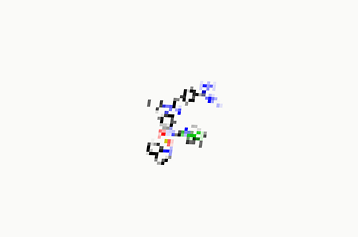 CN(C)CCN(c1ccc2c(c1)nc(Cc1ccc(C(=N)N)cc1)n2C)S(=O)(=O)c1cccc2cccnc12.Cl.Cl